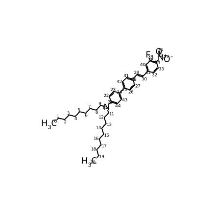 CCCCCCCCCCN(CCCCCCCCCC)c1ccc(-c2ccc(/C=C/c3ccc([N+](=O)[O-])c(F)c3)cc2)cc1